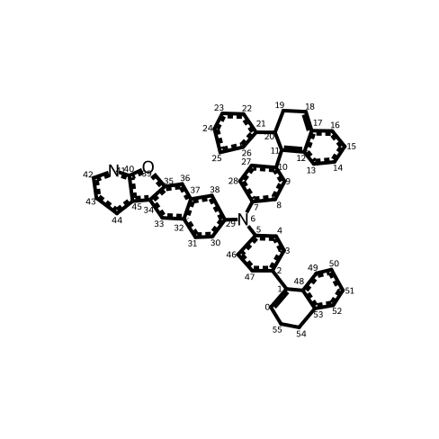 C1=C(c2ccc(N(c3ccc(C4=c5ccccc5=CCC4c4ccccc4)cc3)c3ccc4cc5c(cc4c3)oc3ncccc35)cc2)c2ccccc2CC1